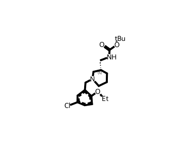 CCOc1ccc(Cl)cc1CN1CCC[C@@H](CNC(=O)OC(C)(C)C)C1